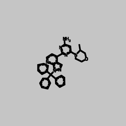 CC1COCCN1c1cc(N)nc(-c2ccnc3c2cnn3C(c2ccccc2)(c2ccccc2)c2ccccc2)n1